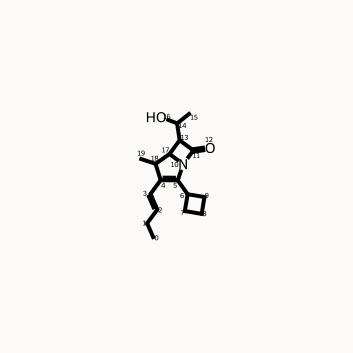 CC/C=C/C1=C(C2CCC2)N2C(=O)C(C(C)O)C2C1C